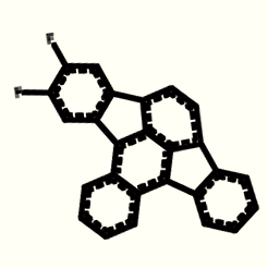 Fc1cc2c(cc1F)-c1c3ccccc3c3c4c(ccc-2c14)-c1ccccc1-3